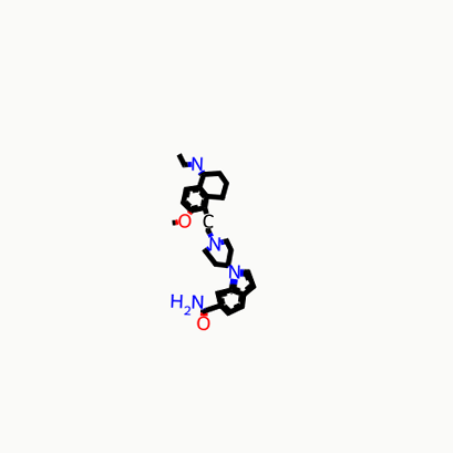 CC/N=C1/CCCc2c1ccc(OC)c2CCN1CCC(n2ccc3ccc(C(N)=O)cc32)CC1